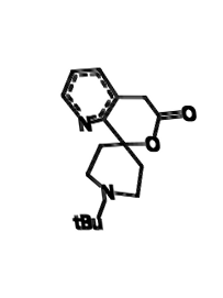 CC(C)(C)N1CCC2(CC1)OC(=O)Cc1cccnc12